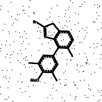 COc1c(C)cc(-c2c(C)ccc3c2C=C(Br)C3)cc1C